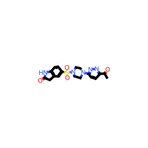 CC(=O)c1ccc(N2CCN(S(=O)(=O)c3ccc4c(c3)CC(=O)N4)CC2)nn1